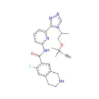 CC(CO[Si](C)(C)C(C)(C)C)n1cnnc1-c1cccc(NC(=O)c2cc3c(cc2F)CCNC3)n1